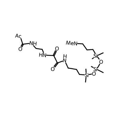 CNCCC[Si](C)(C)O[Si](C)(C)O[Si](C)(C)CCCNC(=O)C(=O)NCCNC(=O)C(C)=O